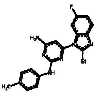 CCc1nc2ccc(F)cc2n1-c1cc(N)nc(Nc2ccc(C)cc2)n1